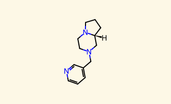 c1cncc(CN2CCN3CCC[C@@H]3C2)c1